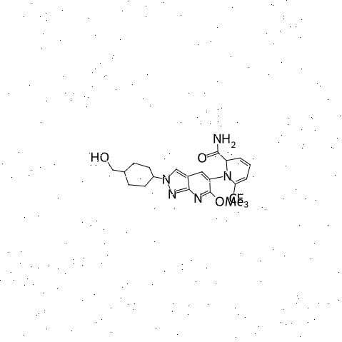 COc1nc2nn(C3CCC(CO)CC3)cc2cc1N1C(C(F)(F)F)=CC=CC1C(N)=O